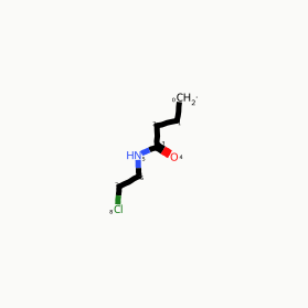 [CH2]CCC(=O)NCCCl